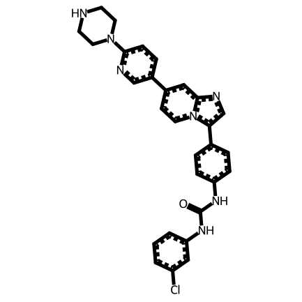 O=C(Nc1ccc(-c2cnc3cc(-c4ccc(N5CCNCC5)nc4)ccn23)cc1)Nc1cccc(Cl)c1